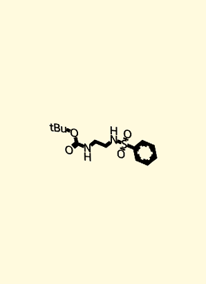 CC(C)(C)OC(=O)NCCNS(=O)(=O)c1ccccc1